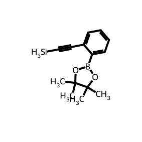 CC1(C)OB(c2ccccc2C#C[SiH3])OC1(C)C